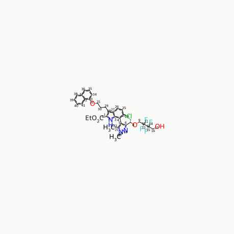 CCOC(=O)c1[nH]c2c(-c3c(COCC(F)(F)C(F)(F)CO)nn(C)c3C)c(Cl)ccc2c1CCCOc1cccc2ccccc12